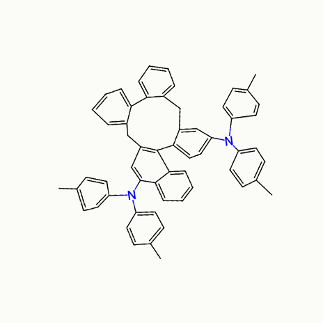 Cc1ccc(N(c2ccc(C)cc2)c2ccc3c(c2)Cc2ccccc2-c2ccccc2Cc2cc(N(c4ccc(C)cc4)c4ccc(C)cc4)c4ccccc4c2-3)cc1